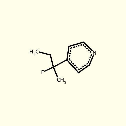 CCC(C)(F)c1ccncc1